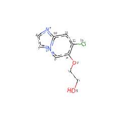 OCCOc1cn2ccnc2cc1Cl